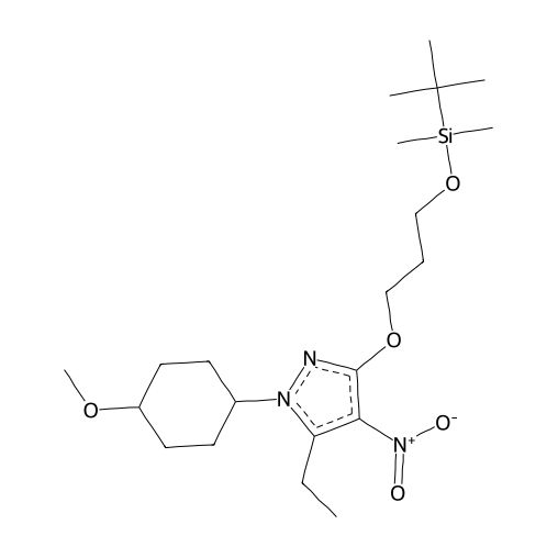 CCc1c([N+](=O)[O-])c(OCCCO[Si](C)(C)C(C)(C)C)nn1C1CCC(OC)CC1